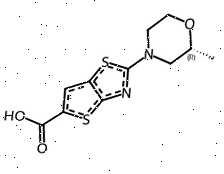 C[C@@H]1CN(c2nc3sc(C(=O)O)cc3s2)CCO1